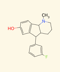 CN1CCCC2C(c3cccc(F)c3)c3cc(O)ccc3C21